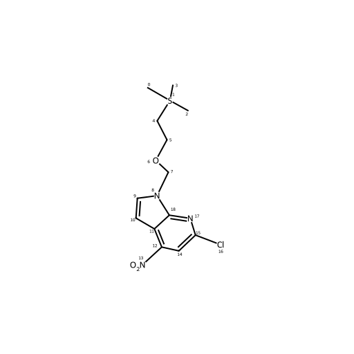 CS(C)(C)CCOCn1ccc2c([N+](=O)[O-])cc(Cl)nc21